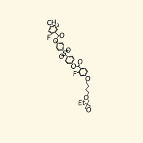 CCC1(COCCCCOc2ccc(C(=O)Oc3ccc(S(=O)(=O)c4ccc(OC(=O)c5ccc(C)cc5F)cc4)cc3)c(F)c2)COC1